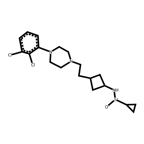 [O-][S+](NC1CC(CCN2CCN(c3cccc(Cl)c3Cl)CC2)C1)C1CC1